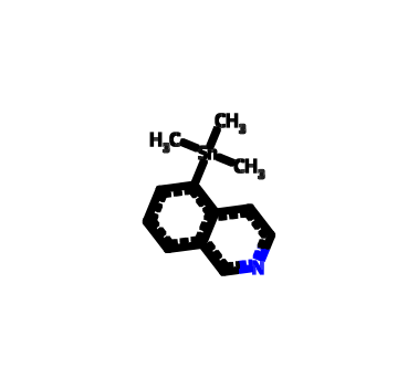 [CH3][Sn]([CH3])([CH3])[c]1cccc2cnccc12